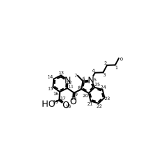 CCCCCn1c(C)c(C(=O)c2ncccc2C(=O)O)c2ccccc21